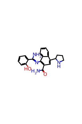 NC(=O)c1cc(C2CCCN2)c2ccccc2c1N=C(N)c1ccccc1O